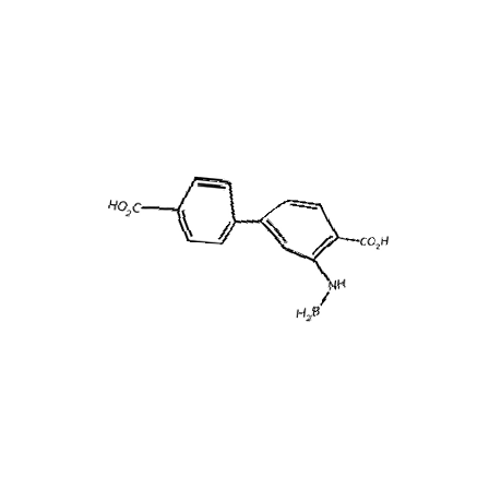 BNc1cc(-c2ccc(C(=O)O)cc2)ccc1C(=O)O